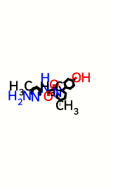 Cc1cc(NC(=O)C(=O)N2C[C@@H](C)CC[C@@]2(C)C2CCC(O)CC2)cnc1N